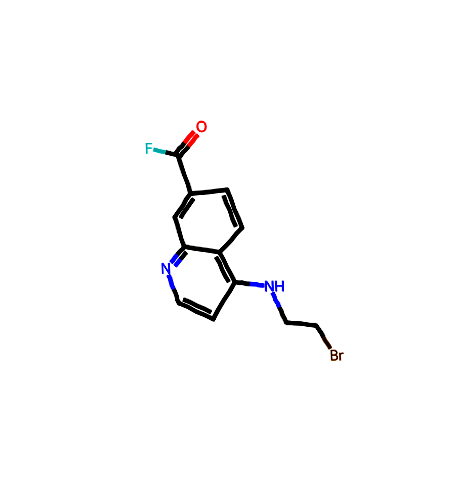 O=C(F)c1ccc2c(NCCBr)ccnc2c1